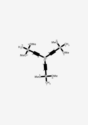 CO[Si](C)(C#C[SiH](C#C[Si](C)(OC)OC)C#C[Si](C)(OC)OC)OC